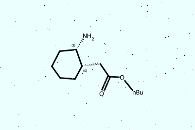 CCCCOC(=O)C[C@@H]1CCCC[C@@H]1N